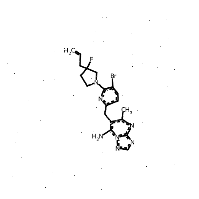 C=CCC1(F)CCN(c2nc(Cc3c(C)nc4ncnn4c3N)ccc2Br)C1